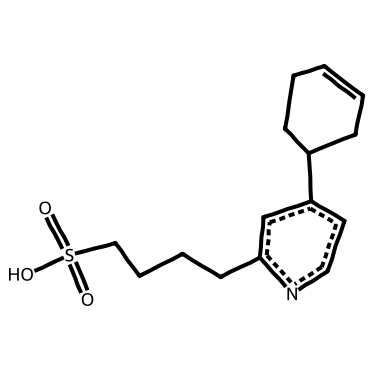 O=S(=O)(O)CCCCc1cc(C2CC=CCC2)ccn1